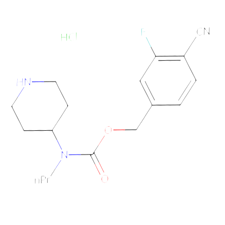 CCCN(C(=O)OCc1ccc(C#N)c(F)c1)C1CCNCC1.Cl